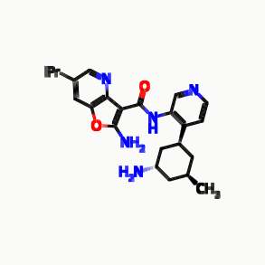 CC(C)c1cnc2c(C(=O)Nc3cnccc3[C@H]3C[C@@H](C)C[C@H](N)C3)c(N)oc2c1